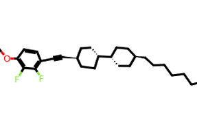 CCCCCCC[C@H]1CC[C@H]([C@H]2CC[C@H](C#Cc3ccc(OCC)c(F)c3F)CC2)CC1